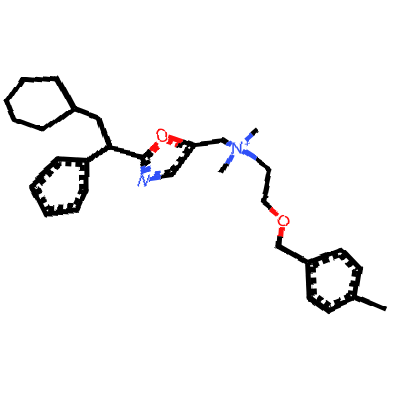 Cc1ccc(COCC[N+](C)(C)Cc2cnc(C(CC3CCCCC3)c3ccccc3)o2)cc1